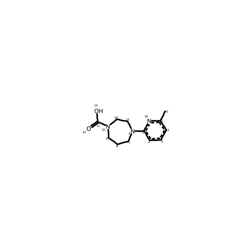 Cc1cccc(N2CCCN(C(=O)O)CC2)n1